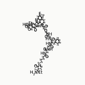 CCC(C)(N)C1CCN(CCCCCC(=O)NCC(=O)NCC(=O)N[C@@H](Cc2ccccc2)C(=O)NCC(=O)NCOCC(=O)N[C@H]2CCc3c(C)c(F)cc4nc5c(c2c34)Cn2c-5cc3c(c2=O)COC(=O)[C@]3(O)CC)C1=O